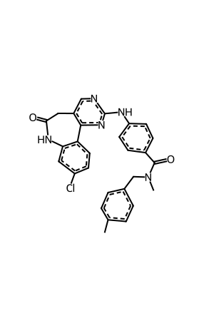 Cc1ccc(CN(C)C(=O)c2ccc(Nc3ncc4c(n3)-c3ccc(Cl)cc3NC(=O)C4)cc2)cc1